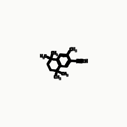 C#Cc1cc2c(cc1C)C(C)(C)CCC2(C)C